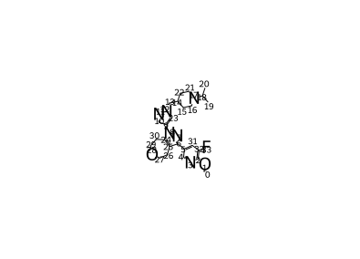 COc1ncc(-c2nn(-c3cnn(CC4CCN(C(C)C)CC4)c3)c3c2CCOCC3)cc1F